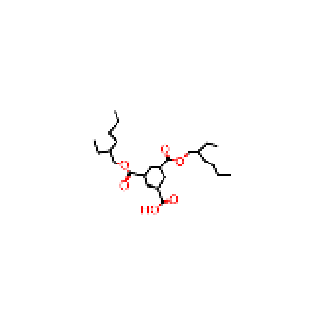 CCCCC(CC)COC(=O)C1CC(C(=O)O)CC(C(=O)OCC(CC)CCCC)C1